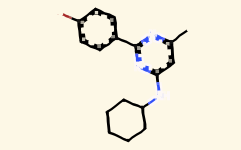 Cc1cc(NC2CCCCC2)nc(-c2ccc(Br)cc2)n1